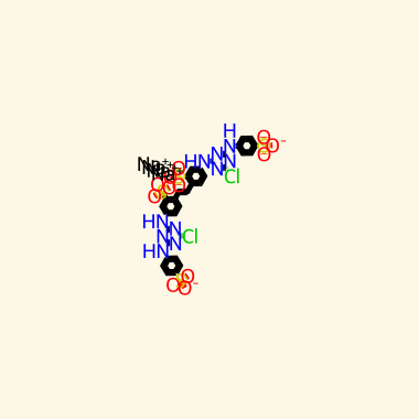 O=S(=O)([O-])c1ccc(Nc2nc(Cl)nc(Nc3ccc(C=Cc4ccc(Nc5nc(Cl)nc(Nc6ccc(S(=O)(=O)[O-])cc6)n5)cc4S(=O)(=O)[O-])c(S(=O)(=O)[O-])c3)n2)cc1.[Na+].[Na+].[Na+].[Na+]